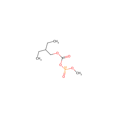 CCC(CC)COC(=O)O[PH](=O)OC